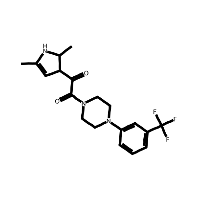 CC1=CC(C(=O)C(=O)N2CCN(c3cccc(C(F)(F)F)c3)CC2)C(C)N1